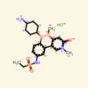 CCS(=O)(=O)Nc1ccc(OC2CCC(N)CC2)c(-c2cn(C)c(=O)cc2OC)c1.Cl